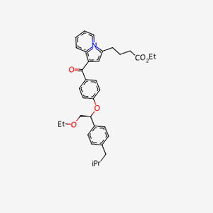 CCOC[C@@H](Oc1ccc(C(=O)c2cc(CCCC(=O)OCC)n3ccccc23)cc1)c1ccc(CC(C)C)cc1